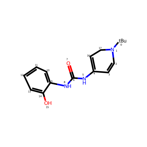 CC(C)(C)N1C=CC(NC(=O)Nc2ccccc2O)=CC1